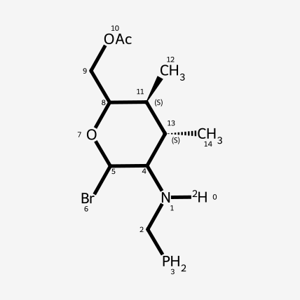 [2H]N(CP)C1C(Br)OC(COC(C)=O)[C@@H](C)[C@@H]1C